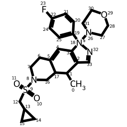 CC1C2=C(C=C3CCN(S(=O)(=O)CC4CC4)CC31)[N+](c1ccc(F)cc1)(N1CCOCC1)N=C2